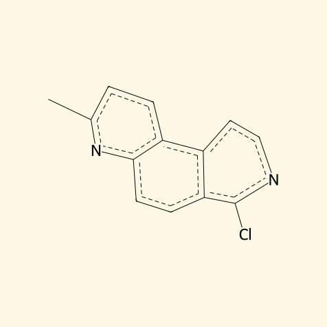 Cc1ccc2c(ccc3c(Cl)nccc32)n1